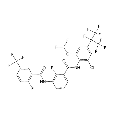 O=C(Nc1cccc(C(=O)Nc2c(Cl)cc(C(F)(C(F)(F)F)C(F)(F)F)cc2OC(F)F)c1F)c1cc(C(F)(F)F)ccc1F